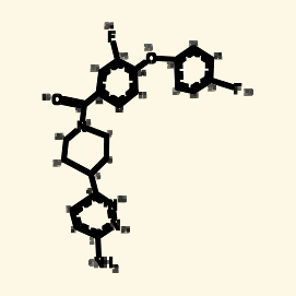 Nc1ccc(C2CCN(C(=O)c3ccc(Oc4ccc(F)cc4)c(F)c3)CC2)nn1